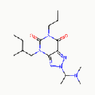 CCCn1c(=O)c2nn(C(C)N(C)C)nc2n(CC(C)CC)c1=O